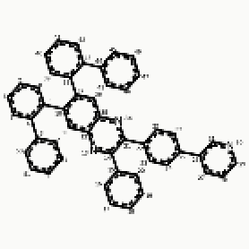 c1ccc(-c2ccccc2-c2cc3nc(-c4ccccc4)c(-c4ccc(-c5cccnc5)cc4)nc3cc2-c2ccccc2-c2ccccc2)cc1